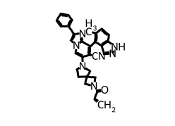 C=CC(=O)N1CC2(CCN(c3cn4cc(-c5ccccc5)nc4c(-c4c(C)ccc5[nH]ncc45)c3C#N)C2)C1